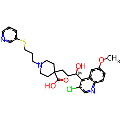 COc1ccc2ncc(Cl)c([C@H](O)CCC3(C(=O)O)CCN(CCCSc4cccnc4)CC3)c2c1